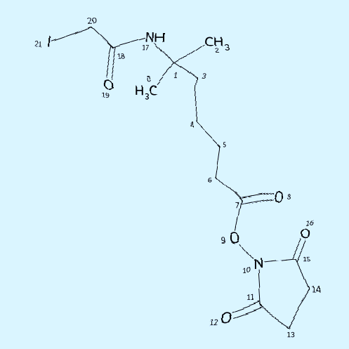 CC(C)(CCCCC(=O)ON1C(=O)CCC1=O)NC(=O)CI